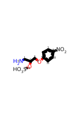 NCC(COc1ccc([N+](=O)[O-])cc1)OS(=O)(=O)O